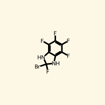 Fc1c(F)c(F)c2c(c1F)NC(F)(Br)N2